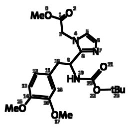 COC(=O)Cn1ccnc1C(Cc1ccc(OC)c(OC)c1)NC(=O)OC(C)(C)C